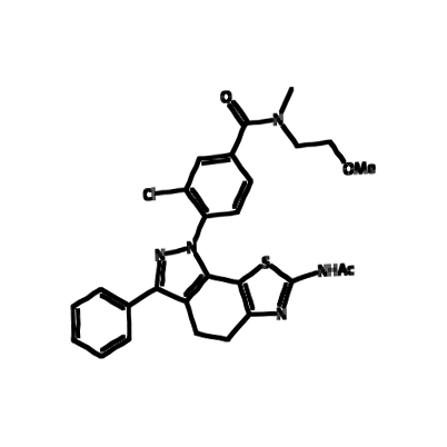 COCCN(C)C(=O)c1ccc(-n2nc(-c3ccccc3)c3c2-c2sc(NC(C)=O)nc2CC3)c(Cl)c1